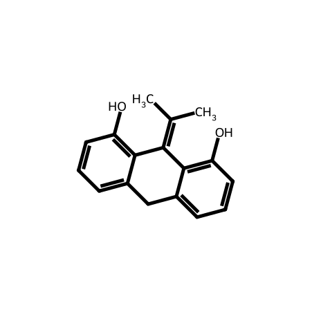 CC(C)=C1c2c(O)cccc2Cc2cccc(O)c21